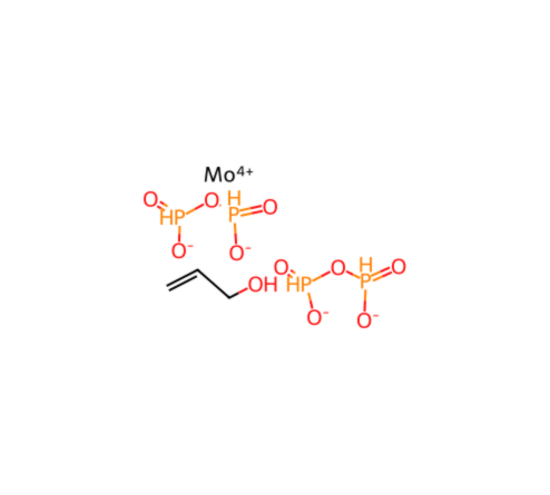 C=CCO.O=[PH]([O-])O[PH](=O)[O-].O=[PH]([O-])O[PH](=O)[O-].[Mo+4]